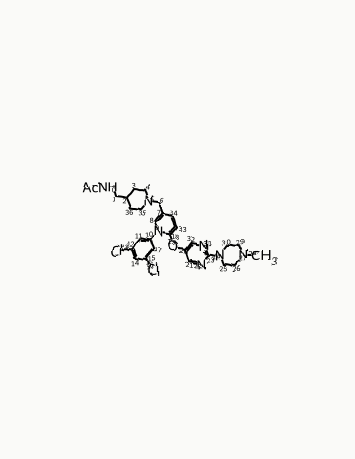 CC(=O)NCC1CCN(CC2=CN(c3cc(Cl)cc(Cl)c3)C(Oc3cnc(N4CCN(C)CC4)nc3)=C=C2)CC1